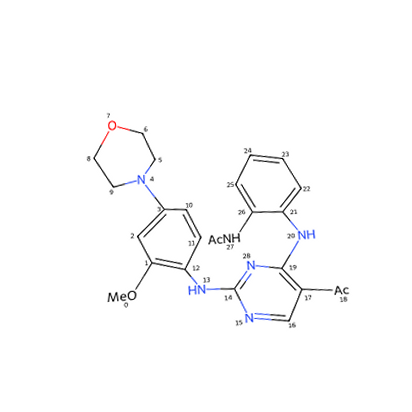 COc1cc(N2CCOCC2)ccc1Nc1ncc(C(C)=O)c(Nc2ccccc2NC(C)=O)n1